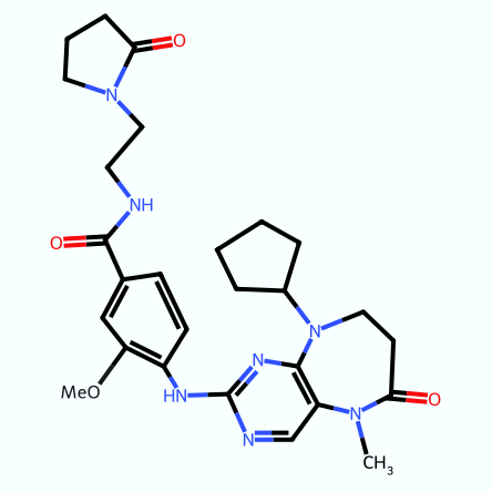 COc1cc(C(=O)NCCN2CCCC2=O)ccc1Nc1ncc2c(n1)N(C1CCCC1)CCC(=O)N2C